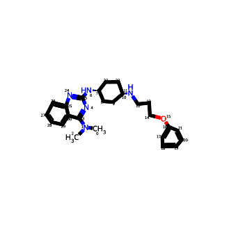 CN(C)c1nc(N[C@H]2CC[C@@H](NCCCOc3ccccc3)CC2)nc2ccccc12